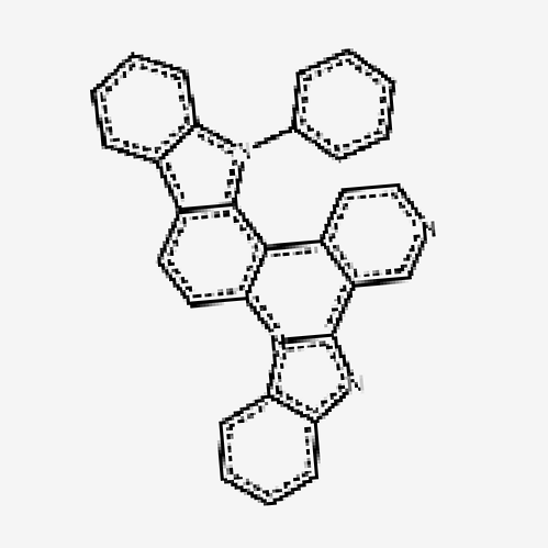 c1ccc(-n2c3ccccc3c3ccc4c(c5ccncc5c5nc6ccccc6n45)c32)cc1